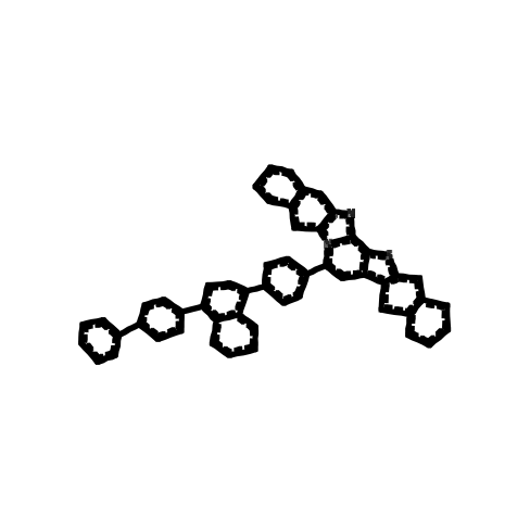 c1ccc(-c2ccc(-c3ccc(-c4ccc(-c5cc6c7cc8ccccc8cc7sc6c6nc7cc8ccccc8cc7n56)cc4)c4ccccc34)cc2)cc1